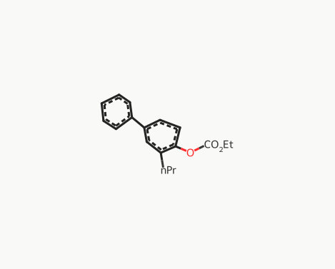 CCCc1cc(-c2ccccc2)ccc1OC(=O)OCC